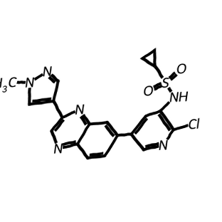 Cn1cc(-c2cnc3ccc(-c4cnc(Cl)c(NS(=O)(=O)C5CC5)c4)cc3n2)cn1